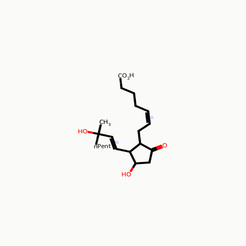 CCCCCC(C)(O)/C=C/C1C(O)CC(=O)C1C/C=C\CCCC(=O)O